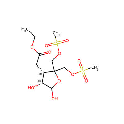 CCOC(=O)C[C@H]1[C@@H](O)C(O)OC1(COS(C)(=O)=O)COS(C)(=O)=O